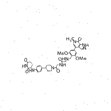 COc1cc(-c2cn(C)c(=O)c3[nH]ncc23)cc(OC)c1CNCC(=O)NCC(=O)N1CCC(c2ccc(NC3CCC(=O)NC3=O)cc2)CC1